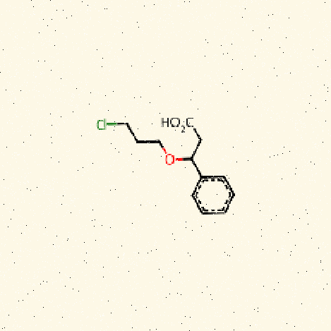 O=C(O)CC(OCCCCl)c1ccccc1